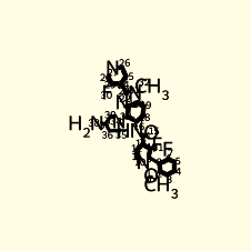 COc1cccc(F)c1-c1nccc(C(=O)Nc2ccc3c(nc(-c4ccncc4F)n3C)c2N2CCC(N)C2)c1F